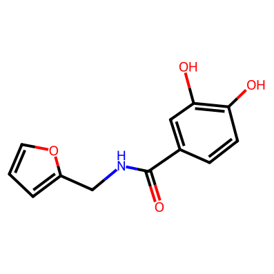 O=C(NCc1ccco1)c1ccc(O)c(O)c1